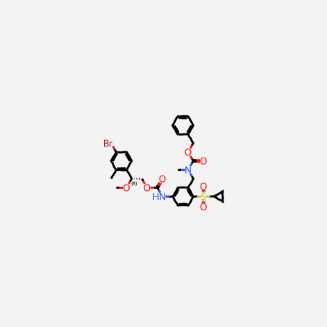 CO[C@@H](COC(=O)Nc1ccc(S(=O)(=O)C2CC2)c(CN(C)C(=O)OCc2ccccc2)c1)c1ccc(Br)cc1C